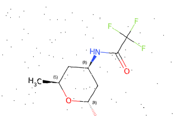 C[C@H]1C[C@@H](NC(=O)C(F)(F)F)C[C@H](O)O1